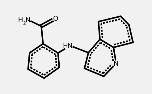 NC(=O)c1ccccc1Nc1ccnc2ccccc12